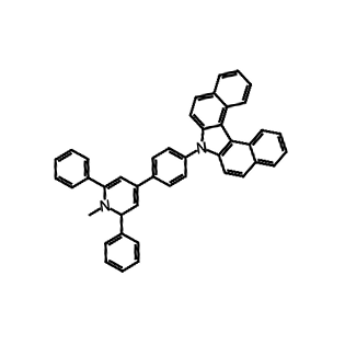 CN1C(c2ccccc2)=CC(c2ccc(-n3c4ccc5ccccc5c4c4c5ccccc5ccc43)cc2)=CC1c1ccccc1